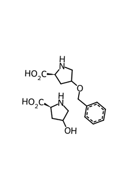 O=C(O)[C@@H]1CC(O)CN1.O=C(O)[C@@H]1CC(OCc2ccccc2)CN1